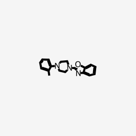 Cc1ccccc1N1CCN(c2nc3ccccc3o2)CC1